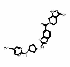 CSc1cnc(N[C@H]2CC[C@H](Nc3nc4ccc(C(=O)N5CCc6c(O)n[nH]c6C5)cc4s3)C2)nc1